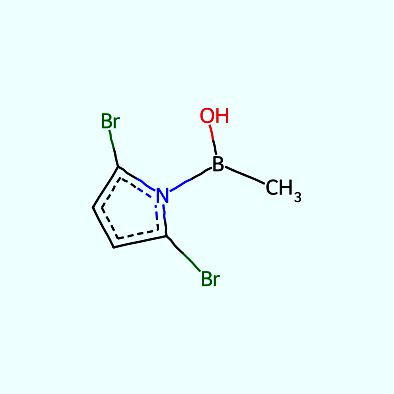 CB(O)n1c(Br)ccc1Br